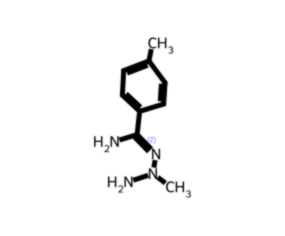 Cc1ccc(/C(N)=N/N(C)N)cc1